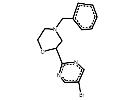 Brc1cnc(C2CN(Cc3ccccc3)CCO2)nc1